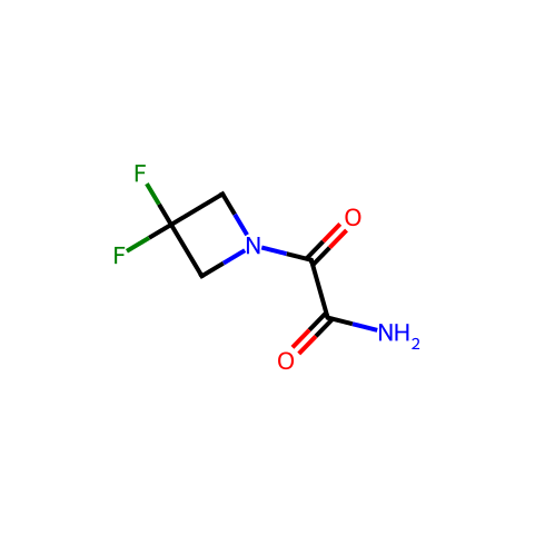 NC(=O)C(=O)N1CC(F)(F)C1